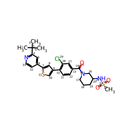 CC(C)(C)c1cc(-c2cc(-c3ccc(C(=O)N4CCCC(NS(C)(=O)=O)C4)cc3Cl)cs2)ccn1